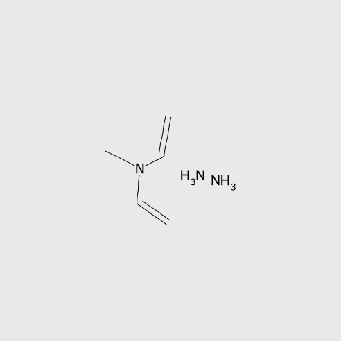 C=CN(C)C=C.N.N